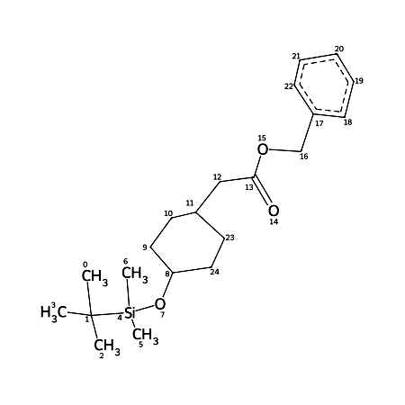 CC(C)(C)[Si](C)(C)OC1CCC(CC(=O)OCc2ccccc2)CC1